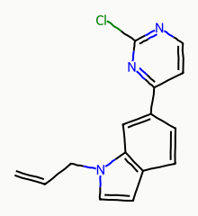 C=CCn1ccc2ccc(-c3ccnc(Cl)n3)cc21